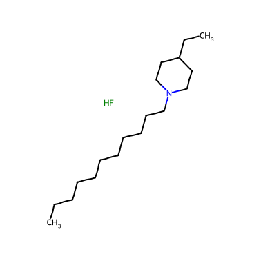 CCCCCCCCCCCN1CCC(CC)CC1.F